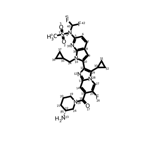 CS(=O)(=O)N(c1ccc2cc(-c3nc4cc(C(=O)N5CCC[C@@H](N)C5)c(F)cn4c3C3CC3)n(CC3CC3)c2n1)C(F)F